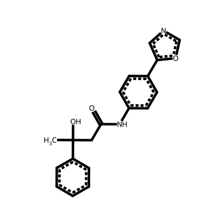 CC(O)(CC(=O)Nc1ccc(-c2cnco2)cc1)c1ccccc1